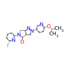 CC(C)Oc1ccc(-n2cc3c(n2)CN(c2cccc(F)n2)C3=O)cn1